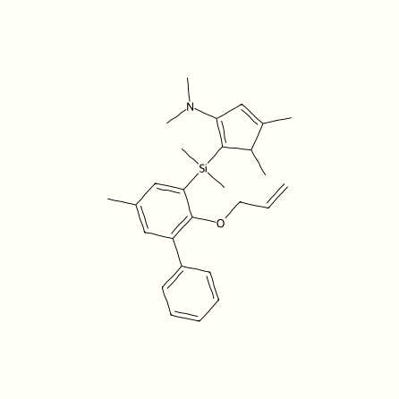 C=CCOc1c(-c2ccccc2)cc(C)cc1[Si](C)(C)C1=C(N(C)C)C=C(C)C1C